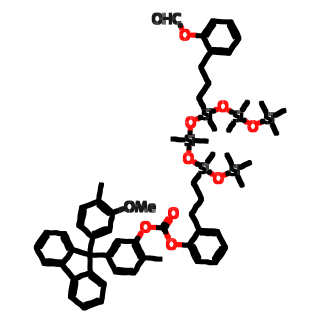 COc1cc(C2(c3ccc(C)c(OC(=O)Oc4ccccc4CCC[Si](C)(O[Si](C)(C)C)O[Si](C)(C)O[Si](C)(CCCc4ccccc4OC=O)O[Si](C)(C)O[Si](C)(C)C)c3)c3ccccc3-c3ccccc32)ccc1C